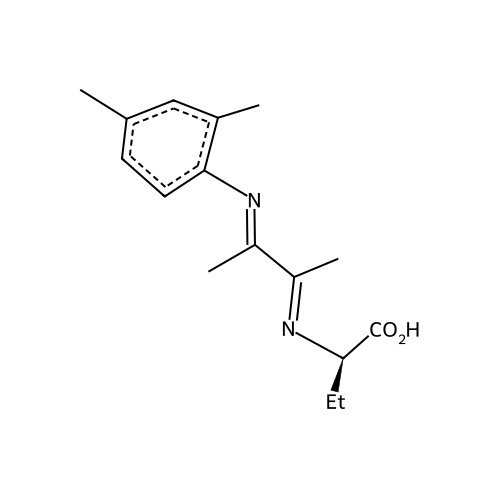 CC[C@@H](/N=C(C)/C(C)=N/c1ccc(C)cc1C)C(=O)O